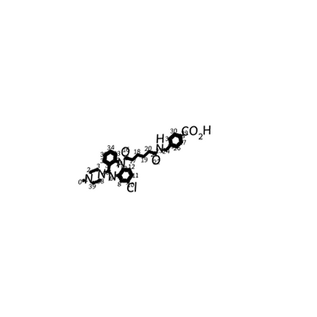 CN1CCN(C2=Nc3cc(Cl)ccc3N(C(=O)CCCCC(=O)NCc3ccc(C(=O)O)cc3)c3ccccc32)CC1